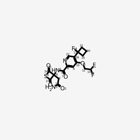 NC(=O)CC1(NC(=O)c2cc(OCC(F)F)c(C3(F)CCC3)cn2)C(=O)SC1=O